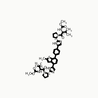 COC(=O)N[C@H](C(=O)N1CCC[C@H]1c1ncc(-c2ccc(-c3ccc(-c4cnc([C@@H]5CCCN5C(=O)[C@@H](NC(=O)OC)C(C)C)[nH]4)c4cc(C)sc34)cc2)[nH]1)C(C)C